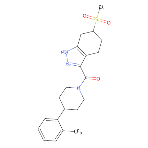 CCS(=O)(=O)C1CCc2c(C(=O)N3CCC(c4ccccc4C(F)(F)F)CC3)n[nH]c2C1